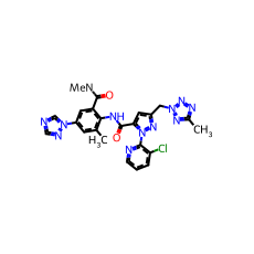 CNC(=O)c1cc(-n2cncn2)cc(C)c1NC(=O)c1cc(Cn2nnc(C)n2)nn1-c1ncccc1Cl